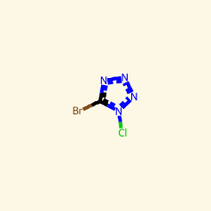 Cln1nnnc1Br